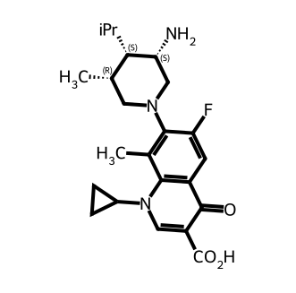 Cc1c(N2C[C@@H](N)[C@@H](C(C)C)[C@@H](C)C2)c(F)cc2c(=O)c(C(=O)O)cn(C3CC3)c12